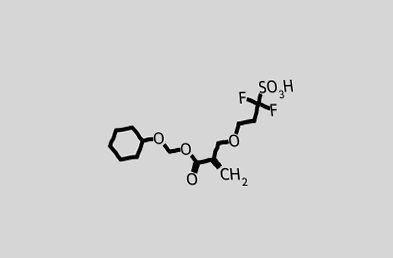 C=C(COCCC(F)(F)S(=O)(=O)O)C(=O)OCOC1CCCCC1